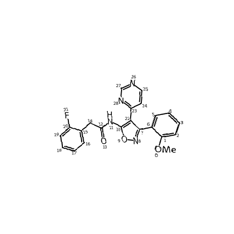 COc1ccccc1-c1noc(NC(=O)Cc2ccccc2F)c1-c1ccncn1